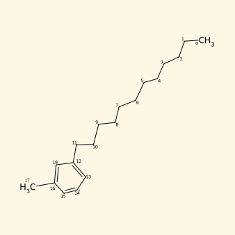 CCCCCCCCCCCCc1c[c]cc(C)c1